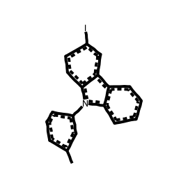 Cc1cccc(-n2c3ccccc3c3cc(I)ccc32)c1